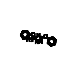 SC1(Oc2ccccc2)N=NC(Oc2ccccc2)=N1